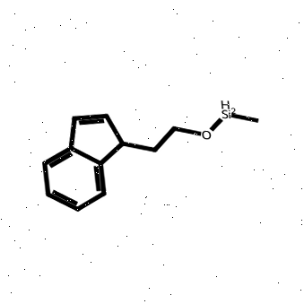 C[SiH2]OCCC1C=Cc2ccccc21